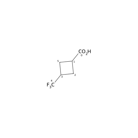 O=C(O)C1CC(C(F)(F)F)C1